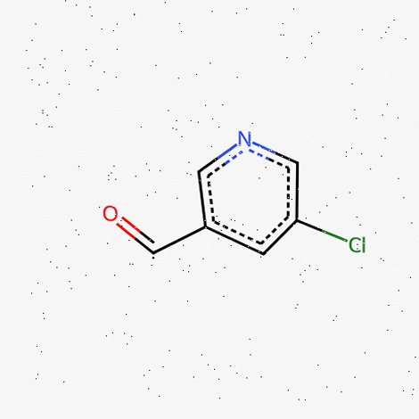 O=[C]c1cncc(Cl)c1